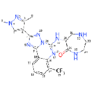 Cc1nn(C)cc1-c1nc2c3cccc(C(F)(F)F)c3nc(N[C@@H]3CNCCNC3=O)n2n1